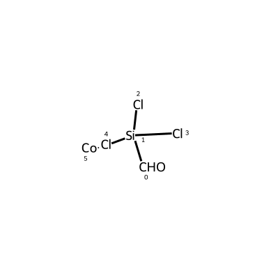 O=C[Si](Cl)(Cl)Cl.[Co]